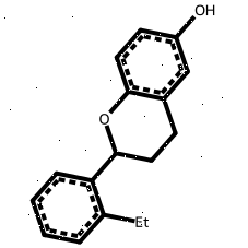 CCc1ccccc1C1CCc2cc(O)ccc2O1